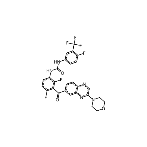 O=C(Nc1ccc(F)c(C(F)(F)F)c1)Nc1ccc(F)c(C(=O)c2ccc3ncc(N4CCOCC4)nc3c2)c1F